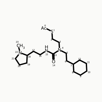 CC(=O)SCCN(CCC1CCCCC1)C(=O)NCCC1CCCN1C